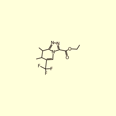 CCOC(=O)c1nnc2n1C=C(C(F)(F)F)C(C)C2C